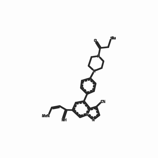 CN/C=C\C(=N)c1cc(-c2ccc(N3CCN(C(=O)CC(C)(C)C)CC3)cc2)c2c(C#N)cnn2c1